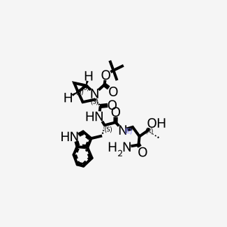 C[C@@H](O)C(/C=N/C(=O)[C@H](Cc1c[nH]c2ccccc12)NC(=O)[C@@H]1C[C@@H]2C[C@@H]2N1C(=O)OC(C)(C)C)C(N)=O